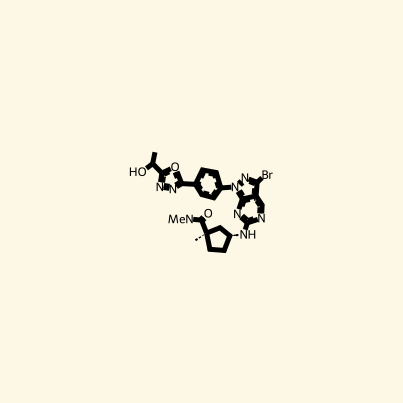 CNC(=O)[C@]1(C)CC[C@@H](Nc2ncc3c(Br)nn(-c4ccc(-c5nnc(C(C)O)o5)cc4)c3n2)C1